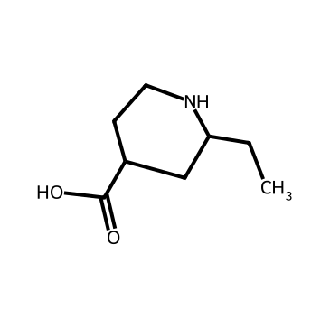 CCC1CC(C(=O)O)CCN1